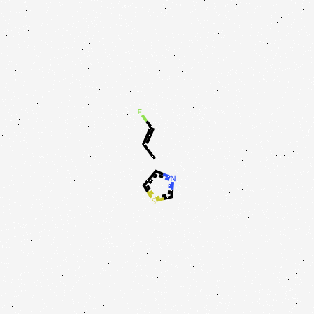 CC=CF.c1cscn1